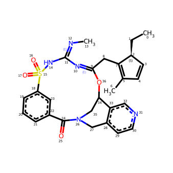 CC[C@H]1C=CC(C)=C1C/C1=N\C(=N/C)NS(=O)(=O)c2cccc(c2)C(=O)N2Cc3ccncc3C(C2)O1